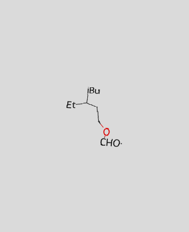 CCC(C)C(CC)CCO[C]=O